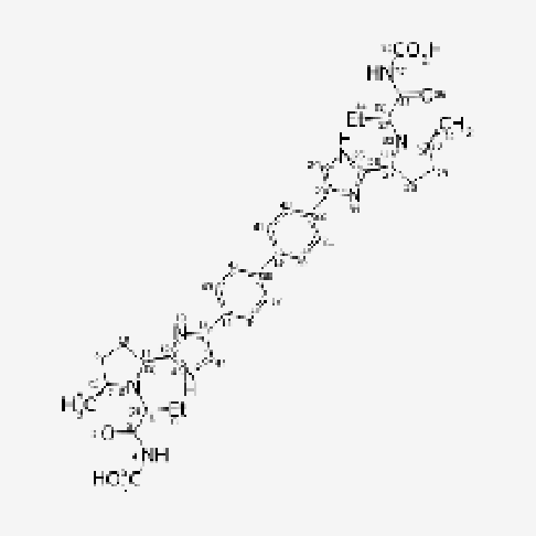 CC[C@@H](C(=O)NC(=O)O)N1[C@@H](C)CC[C@H]1c1nc(-c2ccc(-c3ccc(-c4c[nH]c([C@@H]5CC[C@H](C)N5[C@@H](CC)C(=O)NC(=O)O)n4)cc3)cc2)c[nH]1